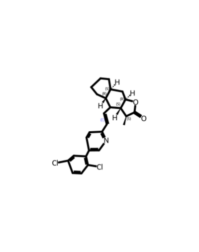 C[C@@H]1C(=O)O[C@@H]2C[C@@H]3CCCC[C@H]3C(/C=C/c3ccc(-c4cc(Cl)ccc4Cl)cn3)[C@@H]12